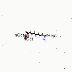 C=C(CCCCCCCNCCCCCCC)OC(CCCCCCCC)CCCCCCCC